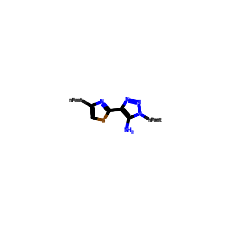 CCCCCc1csc(-c2nnn(CCCCC)c2N)n1